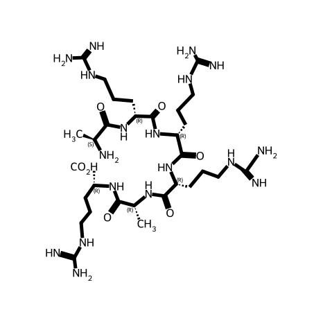 C[C@H](N)C(=O)N[C@H](CCCNC(=N)N)C(=O)N[C@H](CCCNC(=N)N)C(=O)N[C@H](CCCNC(=N)N)C(=O)N[C@H](C)C(=O)N[C@H](CCCNC(=N)N)C(=O)O